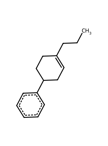 CCCC1=CCC(c2ccccc2)CC1